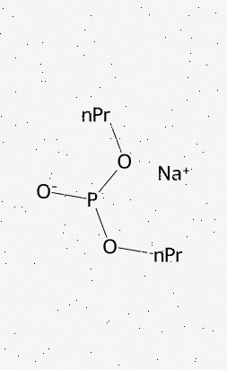 CCCOP([O-])OCCC.[Na+]